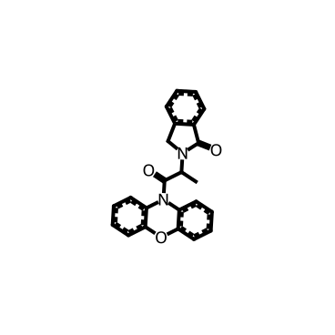 CC(C(=O)N1c2ccccc2Oc2ccccc21)N1Cc2ccccc2C1=O